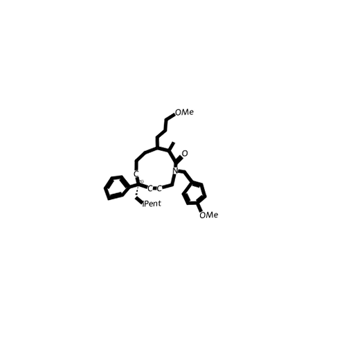 CCCC(C)C[C@]1(c2ccccc2)CCCC(CCCOC)C(C)C(=O)N(Cc2ccc(OC)cc2)CCC1